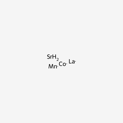 [Co].[La].[Mn].[SrH2]